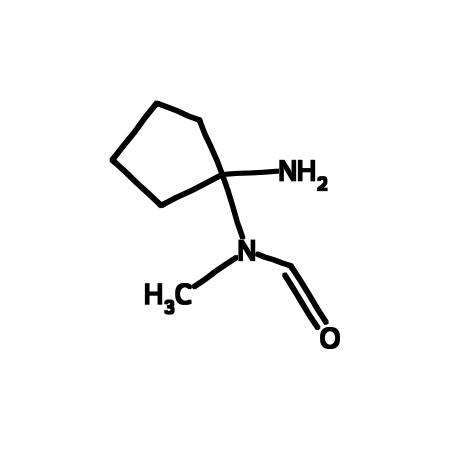 CN(C=O)C1(N)CCCC1